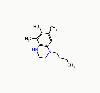 CCCCN1CCNc2c1cc(C)c(C)c2C